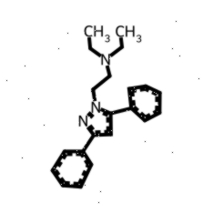 CCN(CC)CCn1nc(-c2ccccc2)cc1-c1ccccc1